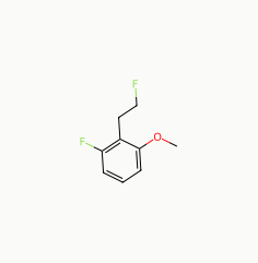 COc1cccc(F)c1CCF